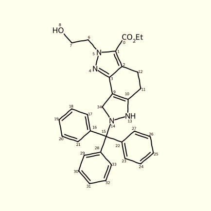 CCOC(=O)c1c2c(nn1CCO)C1=C(CC2)NN(C(c2ccccc2)(c2ccccc2)c2ccccc2)C1